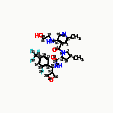 Cc1cc(C(=O)N2C[C@H](C)C[C@@H]2C(=O)N[C@@H](c2ccc(C(F)(F)F)cc2F)C2COC2)c(NCCO)cn1